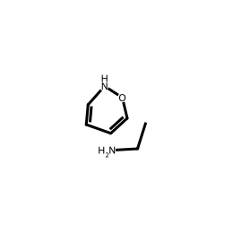 C1=CNOC=C1.CCN